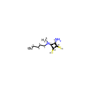 CN(CCCCC(C)(C)C)c1c(N)c(=S)c1=S